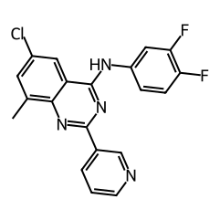 Cc1cc(Cl)cc2c(Nc3ccc(F)c(F)c3)nc(-c3cccnc3)nc12